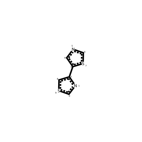 c1nc(-c2cncs2)cs1